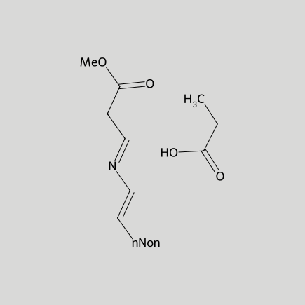 CCC(=O)O.CCCCCCCCCC=CN=CCC(=O)OC